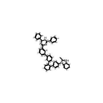 CC1Nc2ccccc2N1c1ccc(-c2ccccc2-c2cccc(-c3cccc(C4=NC(c5ccccc5)NC(c5ccccc5)=N4)c3)c2)cc1